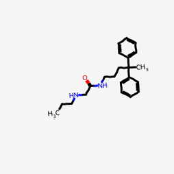 CCCNCC(=O)NCCCC(C)(c1ccccc1)c1ccccc1